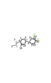 CC[C@H](C)c1ccc(-c2ccc(F)c(F)c2)cc1C